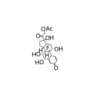 CC(=O)OCC(=O)[C@@]1(O)[C@@H](C)C[C@H]2[C@@H]3[C@@H](O)[C@@H](O)C4=CC(=O)C=C[C@]4(C)[C@@]3(F)[C@@H](O)C[C@@]21C